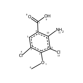 COc1c(Cl)cc(C(=O)O)c(N)c1Cl